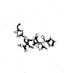 CCc1nnc(SCC2(C(=O)O)CS[C@@H]3C(N(C(C)=O)[S+]([O-])c4cccs4)C(=O)N3C2)s1